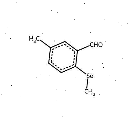 C[Se]c1ccc(C)cc1C=O